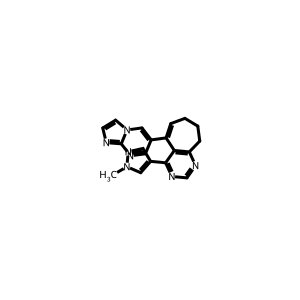 Cn1cc(-c2ncnc3c2C(c2cnc4nccn4c2)=CCCC3)cn1